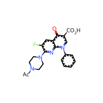 CC(=O)N1CCN(c2nc3c(cc2F)c(=O)c(C(=O)O)cn3-c2ccccc2)CC1